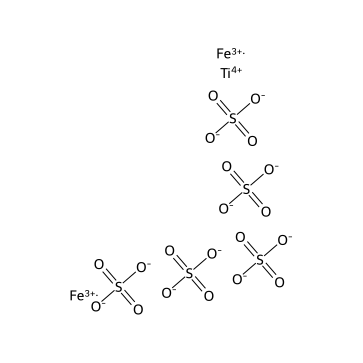 O=S(=O)([O-])[O-].O=S(=O)([O-])[O-].O=S(=O)([O-])[O-].O=S(=O)([O-])[O-].O=S(=O)([O-])[O-].[Fe+3].[Fe+3].[Ti+4]